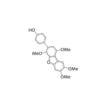 COc1cc2oc3c(OC)c(-c4ccc(O)cc4)cc(OC)c3c2cc1OC